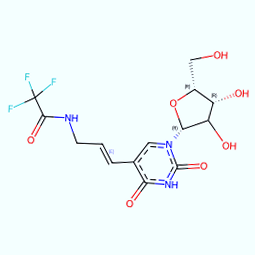 O=C(NC/C=C/c1cn([C@@H]2O[C@H](CO)[C@H](O)C2O)c(=O)[nH]c1=O)C(F)(F)F